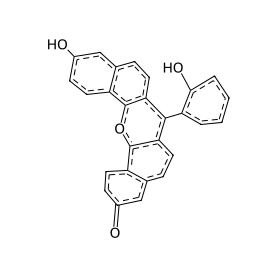 O=c1ccc2c(ccc3c(-c4ccccc4O)c4ccc5cc(O)ccc5c4oc32)c1